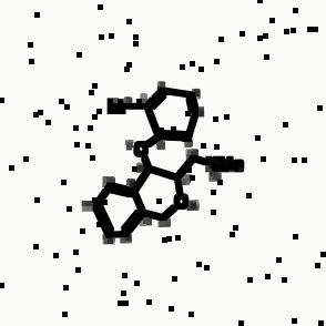 CCc1ccccc1OC1c2ccccc2COC1CNC